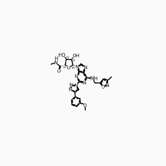 CNC(=O)[C@H]1O[C@@H](n2cnc3c(NCc4cc(C)no4)nc(-n4cc(-c5cccc(OC)c5)nn4)nc32)[C@H](O)[C@@H]1O